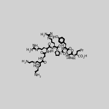 CC[C@H](C)[C@H](NC(=O)[C@H](Cc1ccc(O)cc1)NC(=O)[C@@H]1CCCN1C(=O)[C@H](CCCN=C(N)N)NC(=O)[C@H](CCCN=C(N)N)NC(=O)CNC(=O)C(CNCCN)CNCCN)C(=O)N[C@@H](CC(C)C)C(=O)O